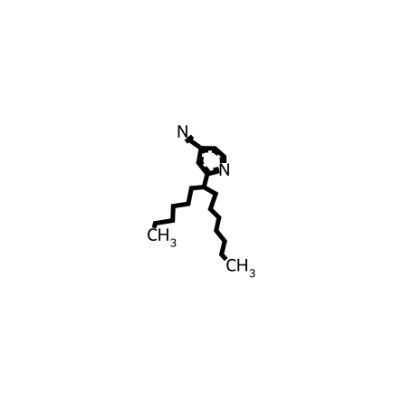 CCCCCCCC(CCCCCC)c1cc(C#N)ccn1